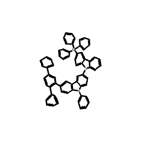 c1ccc(-c2ccc(-c3ccccc3)c(-c3ccc4c(c3)c3cc(-n5c6ccccc6c6cc([Si](c7ccccc7)(c7ccccc7)c7ccccc7)ccc65)ccc3n4-c3ccccc3)c2)cc1